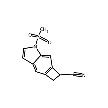 CS(=O)(=O)n1ccc2cc3c(cc21)C(C#N)C3